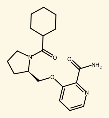 NC(=O)c1ncccc1OC[C@H]1CCCN1C(=O)C1CCCCC1